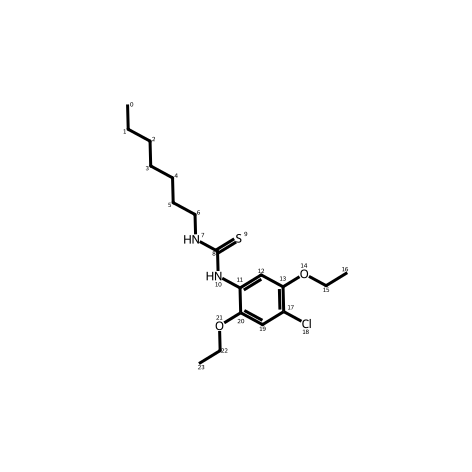 CCCCCCCNC(=S)Nc1cc(OCC)c(Cl)cc1OCC